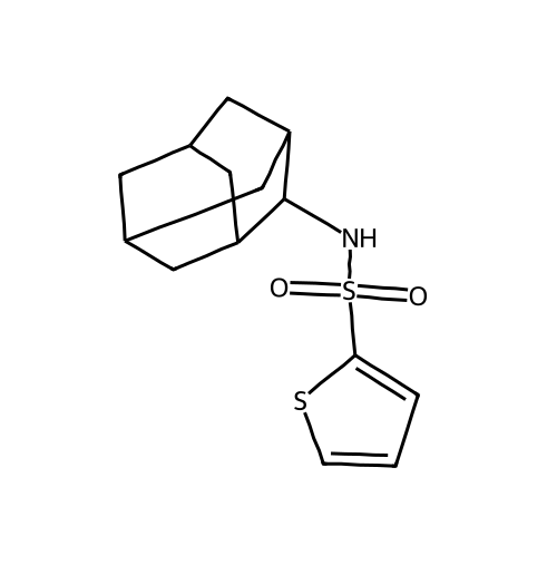 O=S(=O)(NC1C2CC3CC(C2)CC1C3)c1cccs1